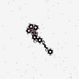 CCCP(OS(=O)(=O)c1ccc(C)c(-c2ccc(OCCCCOc3ccccc3)cc2)c1)(c1ccccc1)(c1ccccc1)c1ccccc1